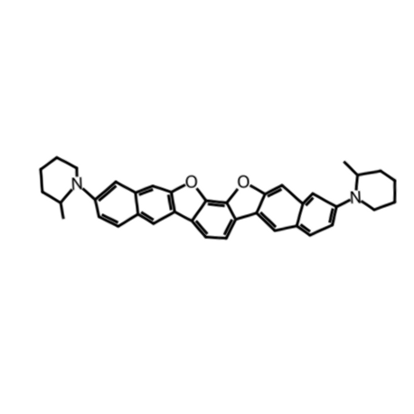 CC1CCCCN1c1ccc2cc3c(cc2c1)oc1c3ccc2c3cc4ccc(N5CCCCC5C)cc4cc3oc21